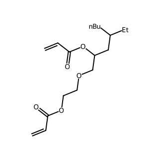 C=CC(=O)OCCOCC(CC(CC)CCCC)OC(=O)C=C